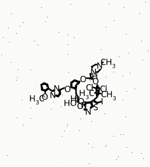 COc1ccccc1-c1nccc(COc2ccc3cc2C[C@H](C(=O)O)Oc2ncnc4sc(I)c(c24)-c2c(C)c(Cl)c(c(Cl)c2C)O[C@H](CN2CCN(C)CC2)CO3)n1